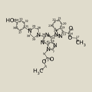 CCOC(=O)Cn1cnc2c(-n3nc(C(=O)OCC)c4ccccc43)nc(N3CCN(c4ccc(O)cc4)CC3)nc21